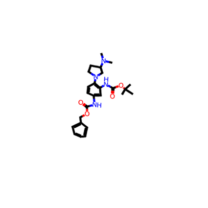 CN(C)C1CCN(c2ccc(NC(=O)OCc3ccccc3)cc2NC(=O)OC(C)(C)C)C1